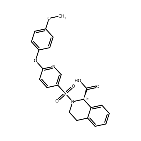 COc1ccc(Oc2ccc(S(=O)(=O)N3CCc4ccccc4[C@@H]3C(=O)O)cn2)cc1